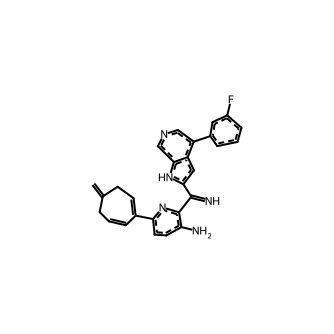 C=C1CC=CC(c2ccc(N)c(C(=N)c3cc4c(-c5cccc(F)c5)cncc4[nH]3)n2)=CC1